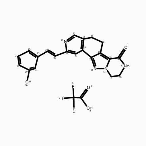 O=C(O)C(F)(F)F.O=C1NCCn2nc3c(c21)CCc1cnc(C=Cc2cccc(O)c2)cc1-3